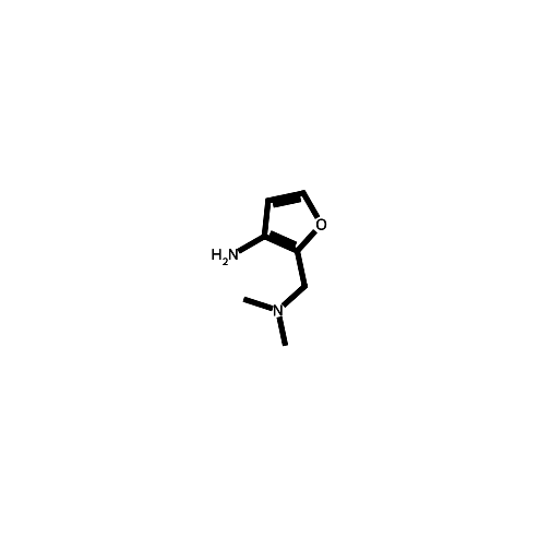 CN(C)Cc1occc1N